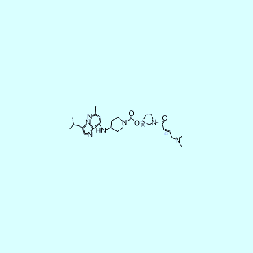 Cc1cc(NC2CCN(C(=O)O[C@@H]3CCN(C(=O)/C=C/CN(C)C)C3)CC2)c2ncc(C(C)C)n2n1